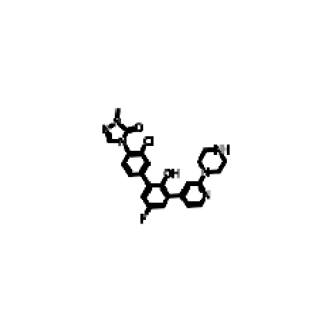 Cn1ncn(-c2ccc(-c3cc(F)cc(-c4ccnc(N5CCNCC5)c4)c3O)cc2Cl)c1=O